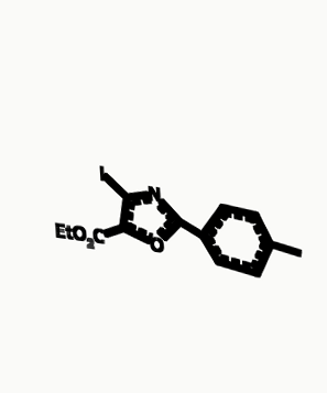 CCOC(=O)c1oc(-c2ccc(C)cc2)nc1I